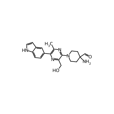 Cc1nc(N2CCC(N)(C=O)CC2)c(CO)nc1-c1ccc2[nH]ccc2c1